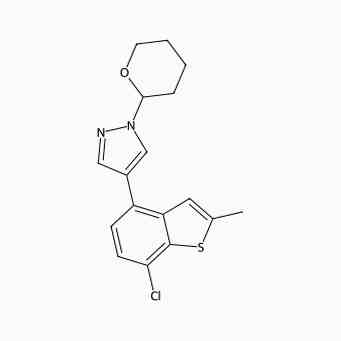 Cc1cc2c(-c3cnn(C4CCCCO4)c3)ccc(Cl)c2s1